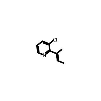 C/C=C(\C)c1ncccc1Cl